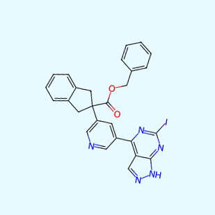 O=C(OCc1ccccc1)C1(c2cncc(-c3nc(I)nc4[nH]ncc34)c2)Cc2ccccc2C1